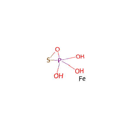 OP1(O)(O)OS1.[Fe]